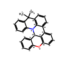 CC1(C)c2ccccc2N2B3c4ccccc4Oc4cccc(c43)-c3cccc1c32